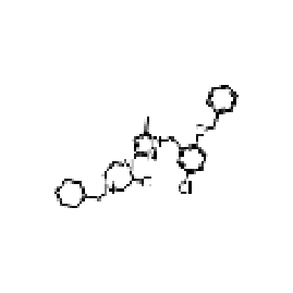 Cc1cc(N2CCN(CC3CCCCC3)CC2=O)nn1Cc1cc(Cl)ccc1OCc1ccccc1